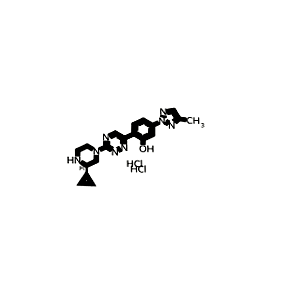 Cc1cnn(-c2ccc(-c3cnc(N4CCN[C@H](C5CC5)C4)nn3)c(O)c2)n1.Cl.Cl